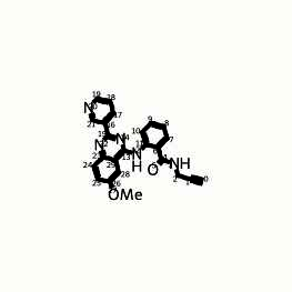 C#CCNC(=O)c1ccccc1Nc1nc(-c2cccnc2)nc2ccc(OC)cc12